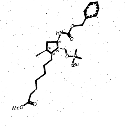 COC(=O)CCCCCC[C@@H]1[C@@H](CO[Si](C)(C)C(C)(C)C)[C@H](NC(=O)OCc2ccccc2)C[C@@H]1C